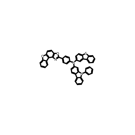 c1ccc(-n2c3ccccc3c3ccc(N(c4ccc(-c5nc6c(ccc7oc8ccccc8c76)o5)cc4)c4ccc5sc6ccccc6c5c4)cc32)cc1